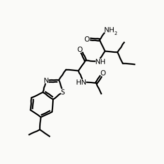 CCC(C)C(NC(=O)C(Cc1nc2ccc(C(C)C)cc2s1)NC(C)=O)C(N)=O